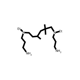 CCN(CCCN)CCC(C)CC(C)(C)CN(CC)CCCN